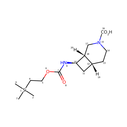 C[Si](C)(C)CCOC(=O)N[C@@H]1C[C@H]2CCN(C(=O)O)C[C@H]21